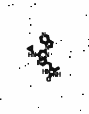 C=c1[nH]c(=O)[nH]/c1=C\c1cnn2c(NC3CC3)cc(-n3ccc4cnccc43)nc12